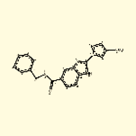 O=C(O)c1cnn(-c2nc3cc(C(=O)NCc4ccccc4)ccc3[nH]2)c1